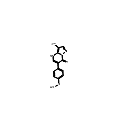 CCCCOc1ccc(-c2c[nH]c3c(C#N)cnn3c2=O)cc1